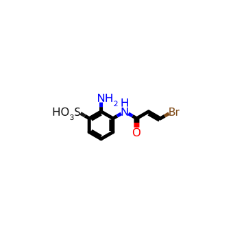 Nc1c(NC(=O)C=CBr)cccc1S(=O)(=O)O